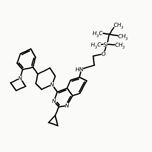 CC(C)(C)[Si](C)(C)OCCNc1ccc2nc(C3CC3)nc(N3CCC(c4ccccc4N4CCC4)CC3)c2c1